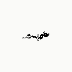 CC(=O)N1CCN(CCCCNC(=O)c2ccc(-c3ccc(F)cc3F)cc2)CC1